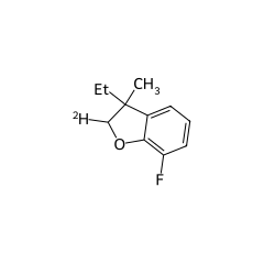 [2H]C1Oc2c(F)cccc2C1(C)CC